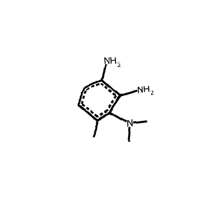 Cc1ccc(N)c(N)c1N(C)C